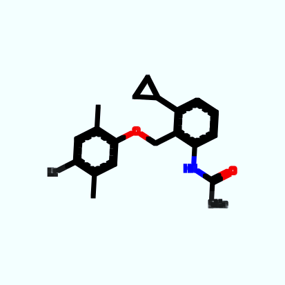 CCc1cc(C)c(OCc2c(NC(=O)SC)cccc2C2CC2)cc1C